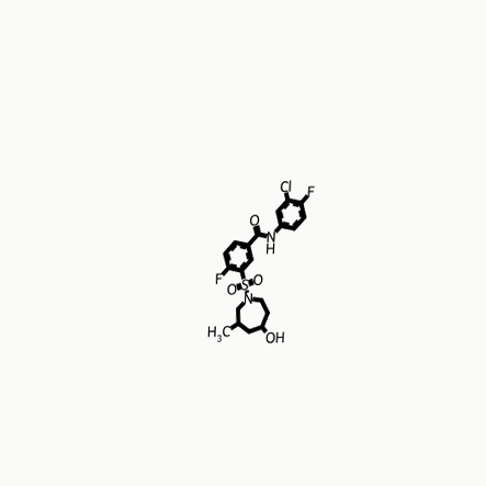 CC1CC(O)CCN(S(=O)(=O)c2cc(C(=O)Nc3ccc(F)c(Cl)c3)ccc2F)C1